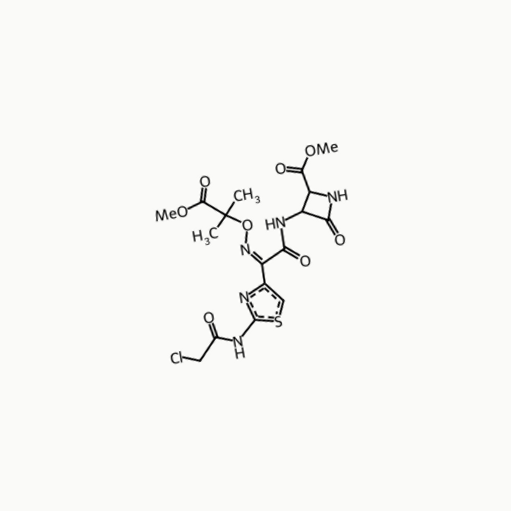 COC(=O)C1NC(=O)C1NC(=O)/C(=N\OC(C)(C)C(=O)OC)c1csc(NC(=O)CCl)n1